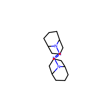 C1CC2CCCC(C1)N2N=NN1C2CCCC1CCC2